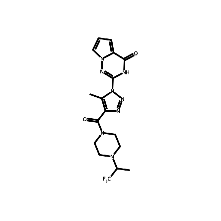 Cc1c(C(=O)N2CCN(C(C)C(F)(F)F)CC2)nnn1-c1nn2cccc2c(=O)[nH]1